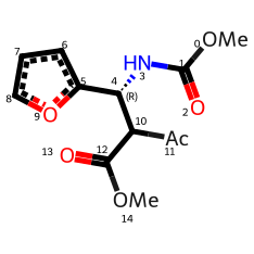 COC(=O)N[C@@H](c1ccco1)C(C(C)=O)C(=O)OC